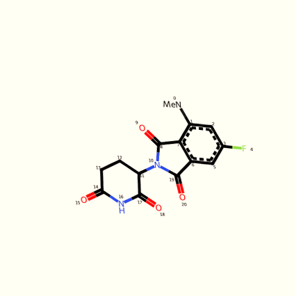 CNc1cc(F)cc2c1C(=O)N(C1CCC(=O)NC1=O)C2=O